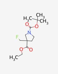 CCOC(=O)C1(CF)CCN(C(=O)OC(C)(C)C)C1